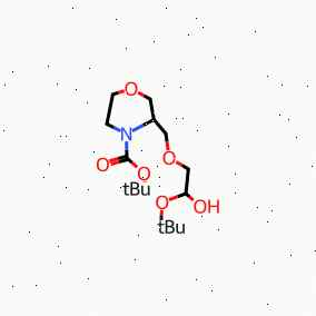 CC(C)(C)OC(=O)N1CCOCC1COCC(O)OC(C)(C)C